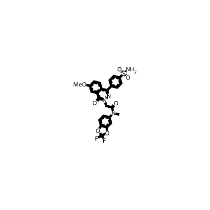 COc1ccc2c(-c3ccc(S(N)(=O)=O)cc3)nn(CC(=O)N(C)c3ccc4c(c3)OC(F)(F)O4)c(=O)c2c1